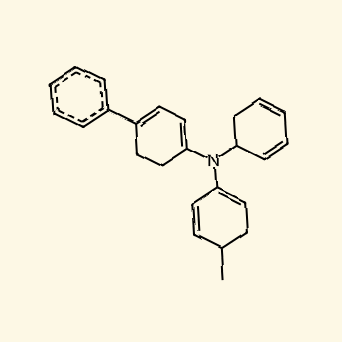 CC1C=CC(N(C2=CC=C(c3ccccc3)CC2)C2C=CC=CC2)=CC1